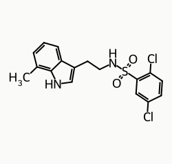 Cc1cccc2c(CCNS(=O)(=O)c3cc(Cl)ccc3Cl)c[nH]c12